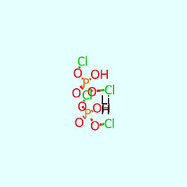 O=P(O)(OCl)OCl.O=P(O)(OCl)OCl.[LiH]